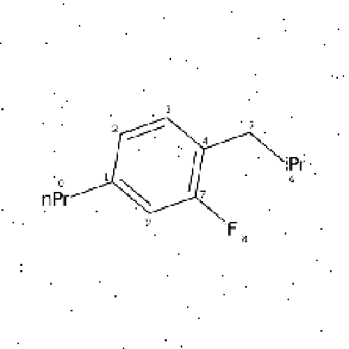 CCCc1ccc(CC(C)C)c(F)c1